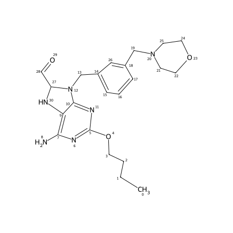 CCCCOc1nc(N)c2c(n1)N(Cc1cccc(CN3CCOCC3)c1)C(C=O)N2